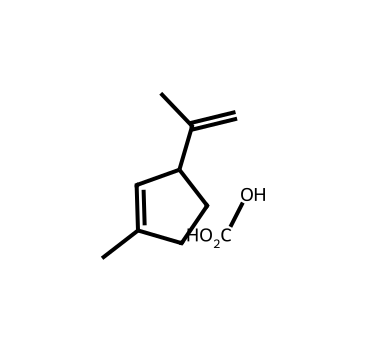 C=C(C)C1C=C(C)CC1.O=C(O)O